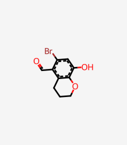 O=Cc1c(Br)cc(O)c2c1CCCO2